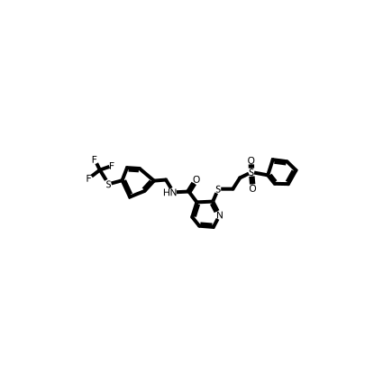 O=C(NCc1ccc(SC(F)(F)F)cc1)c1cccnc1SCCS(=O)(=O)c1ccccc1